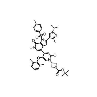 Cc1ccc(S(=O)(=O)n2c(-c3cn(C(C)C)nc3C)cc3c(-c4cc(=O)n(C5CN(C(=O)OC(C)(C)C)C5)cc4Oc4c(C)cccc4C)cn(C)c(=O)c32)cc1